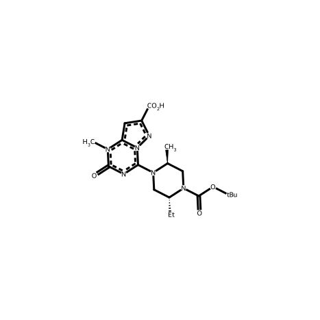 CC[C@@H]1CN(c2nc(=O)n(C)c3cc(C(=O)O)nn23)[C@@H](C)CN1C(=O)OC(C)(C)C